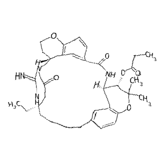 CCC(=O)O[C@H]1[C@@H]2NC(=O)c3ccc4c(c3)[C@@H](CCO4)N3C(=N)N[C@](CC)(CCCCc4ccc(c2c4)OC1(C)C)CC3=O